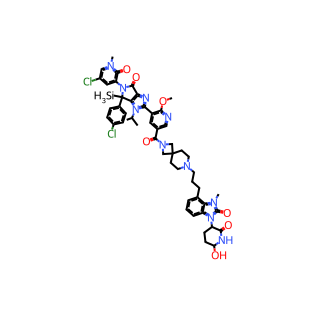 COc1ncc(C(=O)N2CC3(CCN(CCCc4cccc5c4n(C)c(=O)n5C4CCC(O)NC4=O)CC3)C2)cc1-c1nc2c(n1C(C)C)C([SiH3])(c1ccc(Cl)cc1)N(c1cc(Cl)cn(C)c1=O)C2=O